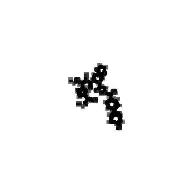 C[C@@H](NC(=O)[C@@H]1CC2(CN1C(=O)CNC(=O)c1ccc(-c3ccc(Cl)cn3)cc1)OCCO2)c1cc(C(=N)N)cs1